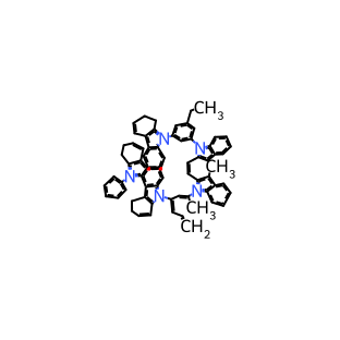 C=C/C=C(\C=C(/C)n1c(/C=C\c2cc3ccccc3n2-c2cc(CC)cc(-n3c4c(c5ccccc53)C=CCC4)c2)c(C)c2ccccc21)n1c2c(c3c1ccc1c4c(n(-c5ccccc5)c13)CCC=C4)CCC=C2